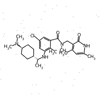 Cc1cc(C)c(CN(C)C(=O)c2cc(Cl)cc(NC(C)[C@H]3CC[C@H](N(C)C)CC3)c2C)c(=O)[nH]1